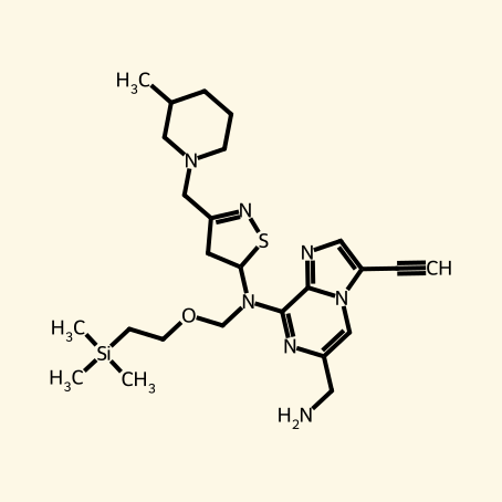 C#Cc1cnc2c(N(COCC[Si](C)(C)C)C3CC(CN4CCCC(C)C4)=NS3)nc(CN)cn12